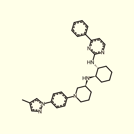 Cc1cnn(-c2ccc(N3CCC[C@H](N[C@@H]4CCCC[C@H]4Nc4nccc(-c5ccccc5)n4)C3)cc2)c1